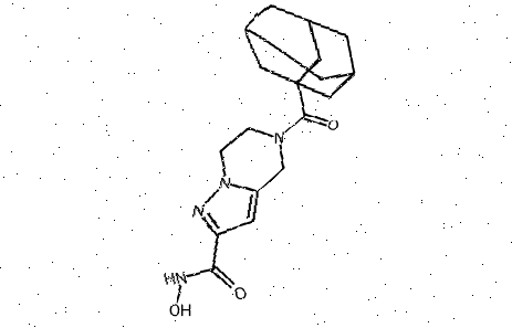 O=C(NO)c1cc2n(n1)CCN(C(=O)C13CC4CC(CC(C4)C1)C3)C2